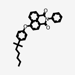 CCCCCC(C)(C)c1ccc(Oc2ccc3c4c(cccc24)C(=O)N(c2ccccc2)C3=O)cc1